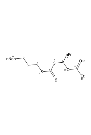 CCCCCCCCCCCCSC(=S)SC(CCC)OC(=O)CC